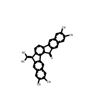 N#CC(C#N)=C1c2cc3cc(C#N)c(C#N)cc3cc2-c2c1ccc1c2C(=O)c2cc3cc(C#N)c(C#N)cc3cc2-1